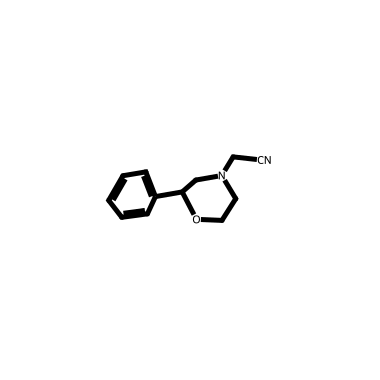 N#CCN1CCOC(c2ccccc2)C1